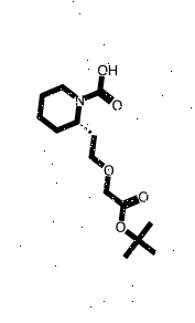 CC(C)(C)OC(=O)COCC[C@@H]1CCCCN1C(=O)O